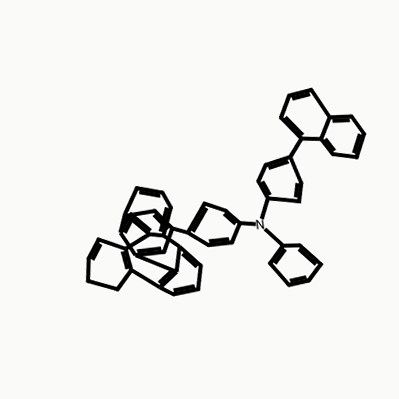 C1=CC2=C(CC1)c1cccc3c1-c1cc(-c4ccc(N(c5ccccc5)c5ccc(-c6cccc7ccccc67)cc5)cc4)ccc1-c1cccc-3c12